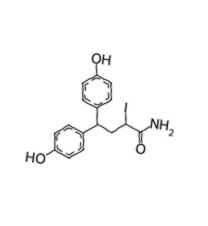 NC(=O)C(I)CC(c1ccc(O)cc1)c1ccc(O)cc1